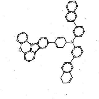 C1=Cc2cc(-c3cccc(N(c4cccc(-c5ccc6ccccc6c5)c4)C4C=CC(c5ccc6c(c5)c5cccc7c5n6-c5ccccc5O7)=CC4)c3)ccc2CC1